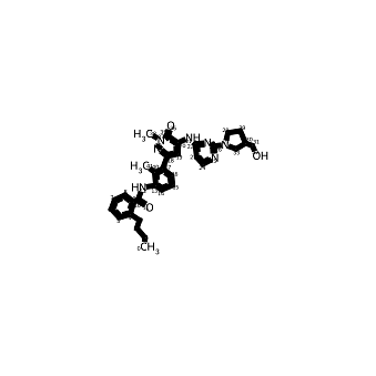 CCCCc1ccccc1C(=O)Nc1cccc(-c2cc(Nc3ccnc(N4CCC(CO)C4)n3)c(=O)n(C)n2)c1C